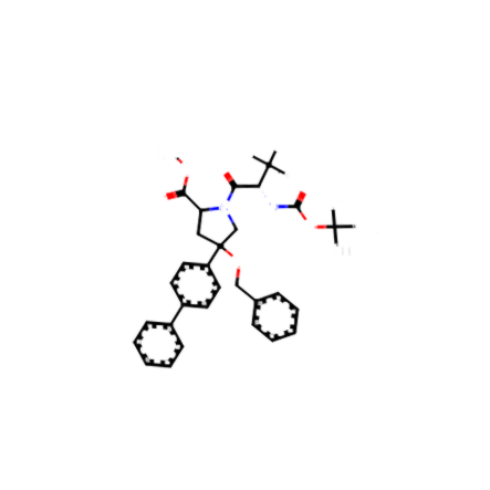 COC(=O)C1CC(OCc2ccccc2)(c2ccc(-c3ccccc3)cc2)CN1C(=O)[C@@H](NC(=O)OC(C)(C)C)C(C)(C)C